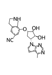 Cc1ncnc2c1ccn2[C@@H]1C[C@H](Oc2cc(C#N)cc3c2CNCC3)[C@@H](O)[C@H]1O